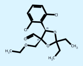 CCOC[C@]1(C=O)OC(CC)(CC)O[C@@H]1c1c(Cl)cccc1Cl